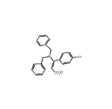 CCOC(=O)/C=C(\c1ccc(Cl)cc1)N(Cc1ccccc1)Cc1ccccc1